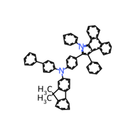 CC1(C)c2ccccc2-c2ccc(N(c3ccc(-c4ccccc4)cc3)c3ccc(-c4c(-c5ccccc5)c5c6ccccc6c6ccccc6c5n4-c4ccccc4)cc3)cc21